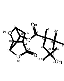 CC(C)(O)CC(C)(C(=O)OC1C2CC3C(=O)OC1C3O2)C(C)(C)C